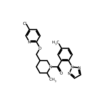 Cc1ccc(-n2nccn2)c(C(=O)N2CC(COc3ccc(Cl)cn3)CCC2C)c1